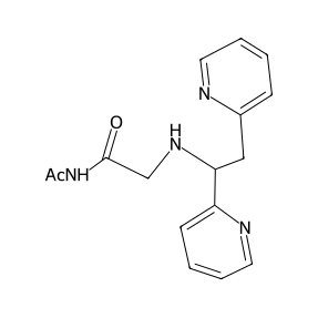 CC(=O)NC(=O)CNC(Cc1ccccn1)c1ccccn1